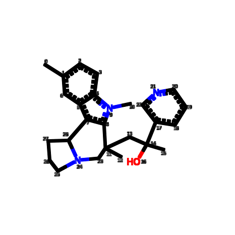 Cc1ccc2c(c1)c1c(n2C)C(C)(CC(C)(O)c2cccnc2)CN2CCCC12